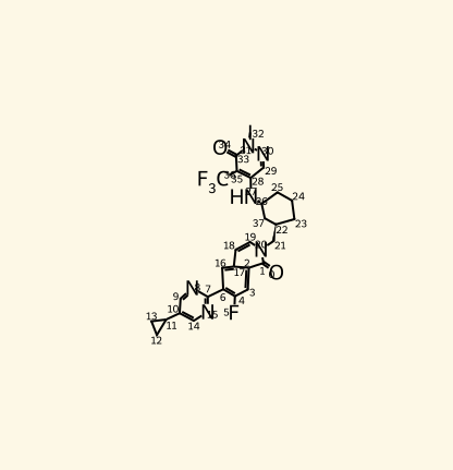 O=c1c2cc(F)c(-c3ncc(C4CC4)cn3)cc2ccn1C[C@@H]1CCC[C@H](Nc2cnn(I)c(=O)c2C(F)(F)F)C1